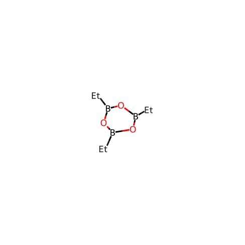 CCB1OB(CC)OB(CC)O1